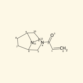 C=CC(=O)N1CC2CCC(C1)N2I